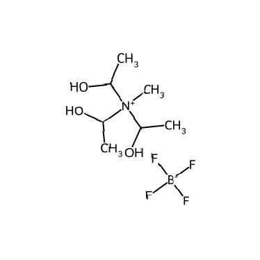 CC(O)[N+](C)(C(C)O)C(C)O.F[B-](F)(F)F